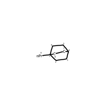 CC[CH]C12CCC(CC1)CC2